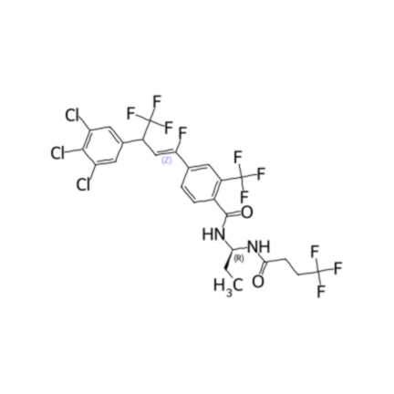 CC[C@H](NC(=O)CCC(F)(F)F)NC(=O)c1ccc(/C(F)=C/C(c2cc(Cl)c(Cl)c(Cl)c2)C(F)(F)F)cc1C(F)(F)F